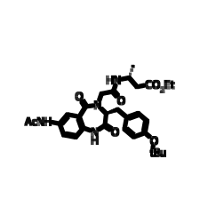 CCOC(=O)C[C@@H](C)NC(=O)CN1C(=O)c2cc(NC(C)=O)ccc2NC(=O)[C@@H]1Cc1ccc(OC(C)(C)C)cc1